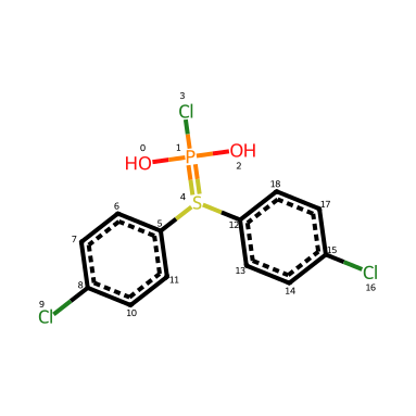 OP(O)(Cl)=S(c1ccc(Cl)cc1)c1ccc(Cl)cc1